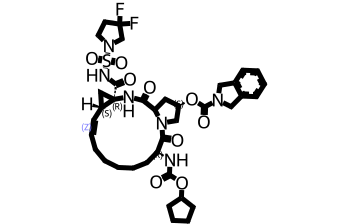 O=C(N[C@@H]1CCCCC/C=C\[C@@H]2C[C@@]2(C(=O)NS(=O)(=O)N2CCC(F)(F)C2)NC(=O)C2C[C@H](OC(=O)N3Cc4ccccc4C3)CN2C1=O)OC1CCCC1